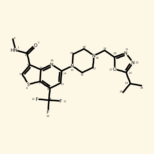 CNC(=O)c1csc2c(C(F)(F)F)cc(N3CCN(Cc4nnc(C(C)C)o4)CC3)nc12